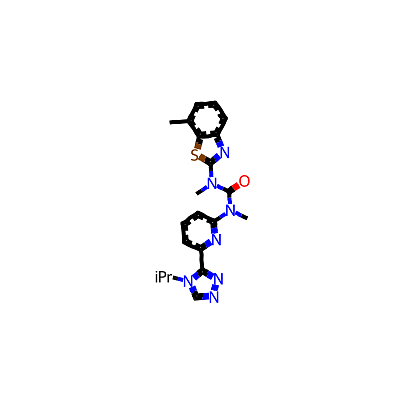 Cc1cccc2nc(N(C)C(=O)N(C)c3cccc(-c4nncn4C(C)C)n3)sc12